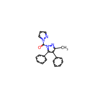 Cc1nn(C(=O)n2cccn2)c(-c2ccccc2)c1-c1ccccc1